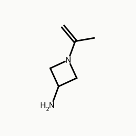 C=C(C)N1CC(N)C1